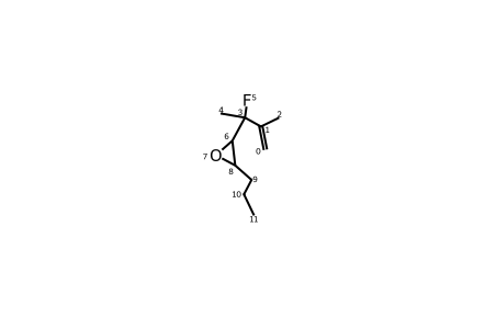 C=C(C)C(C)(F)C1OC1CCC